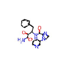 NC(=O)C(=O)C(Cc1ccccc1)NC(=O)c1nccn1-c1cccnc1